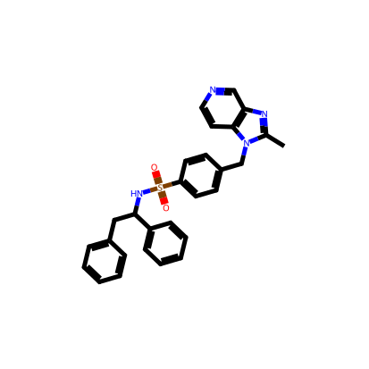 Cc1nc2cnccc2n1Cc1ccc(S(=O)(=O)NC(Cc2ccccc2)c2ccccc2)cc1